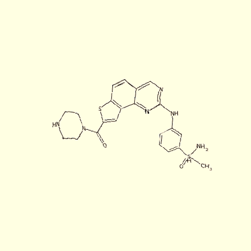 C[SH](N)(=O)c1cccc(Nc2ncc3ccc4sc(C(=O)N5CCNCC5)cc4c3n2)c1